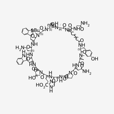 CCCC[C@H]1C(=O)N(C)[C@@H](CCCC)C(=O)N[C@H](C)C(=O)N[C@H](C(=O)NCC(N)=O)CSCC(=O)N[C@@H](Cc2ccc(O)cc2)C(=O)N(C)[C@@H](C)C(=O)N[C@@H](CC(N)=O)C(=O)N2CCC[C@H]2C(=O)N[C@@H](Cc2c[nH]cn2)C(=O)N[C@@H](CCC(=O)O)C(=O)N2C[C@H](O)C[C@H]2C(=O)N[C@@H](Cc2c[nH]c3ccccc23)C(=O)N[C@@H](CCN)C(=O)N[C@@H](Cc2csc3ccccc23)C(=O)N1C